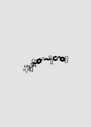 Cc1sc(NC(=N)N)nc1-c1ccc(OCCCC(=O)NC2CCN(Cc3ccc(Cl)c(Cl)c3)CC2)cc1